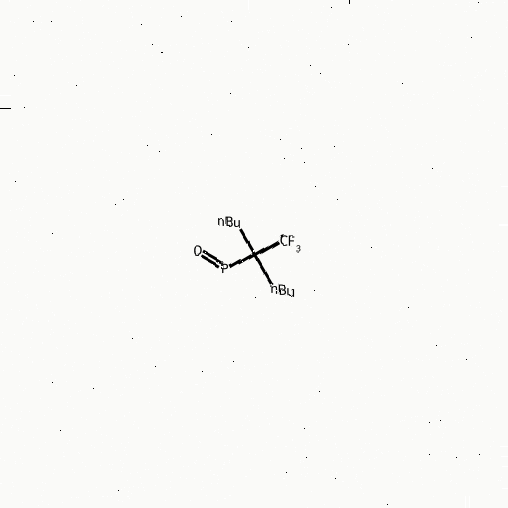 CCCCC(CCCC)(P=O)C(F)(F)F